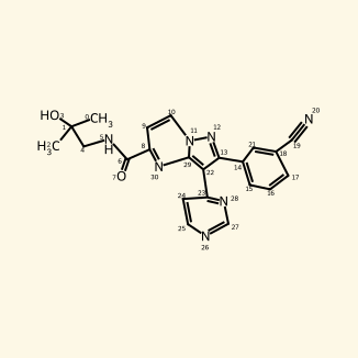 CC(C)(O)CNC(=O)c1ccn2nc(-c3cccc(C#N)c3)c(-c3ccncn3)c2n1